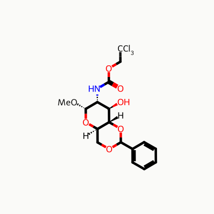 CO[C@H]1O[C@@H]2COC(c3ccccc3)O[C@H]2[C@H](O)[C@H]1NC(=O)OCC(Cl)(Cl)Cl